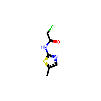 Cc1cnc(NC(=O)CCl)s1